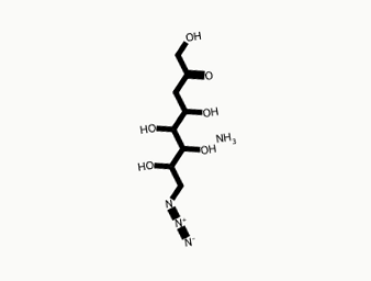 N.[N-]=[N+]=NCC(O)C(O)C(O)C(O)CC(=O)CO